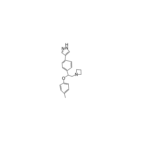 Cc1ccc(OC(CN2CCC2)c2ccc(-c3cn[nH]c3)cc2)cc1